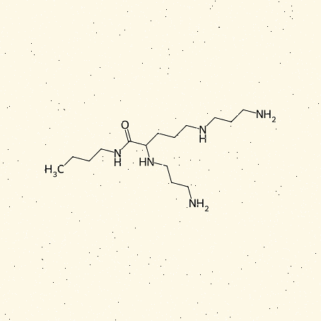 CCCCNC(=O)C(CCCNCCCN)NCCCN